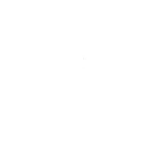 [CH2]C(=O)COC(C)=O